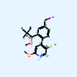 COc1cc(-c2ccc(CI)cc2[C@@H](OC)C(C)(C)C)c(F)cn1